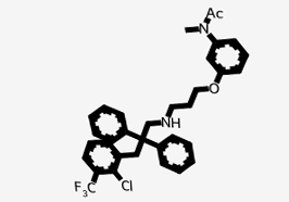 CC(=O)N(C)c1cccc(OCCCNCC(Cc2cccc(C(F)(F)F)c2Cl)(c2ccccc2)c2ccccc2)c1